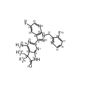 CC1(C(F)(F)F)C(=O)Nc2nc(-c3nn(Cc4ncccc4F)c4ncc(F)cc34)nc(N)c21